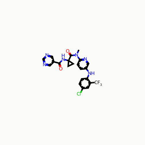 CN(C(=O)C1(NC(=O)c2cncnc2)CC1)c1ccc(Nc2ccc(Cl)cc2C(F)(F)F)cn1